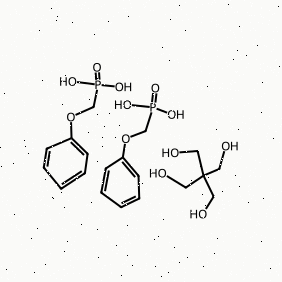 O=P(O)(O)COc1ccccc1.O=P(O)(O)COc1ccccc1.OCC(CO)(CO)CO